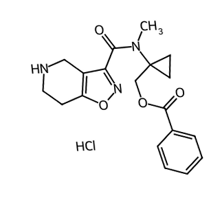 CN(C(=O)c1noc2c1CNCC2)C1(COC(=O)c2ccccc2)CC1.Cl